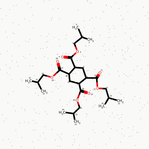 CC(C)COC(=O)C1CC(C(=O)OCC(C)C)C(C(=O)OCC(C)C)CC1C(=O)OCC(C)C